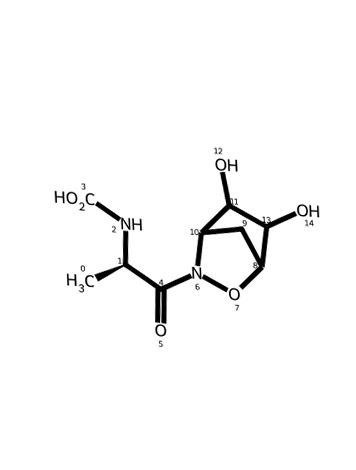 C[C@@H](NC(=O)O)C(=O)N1OC2CC1C(O)C2O